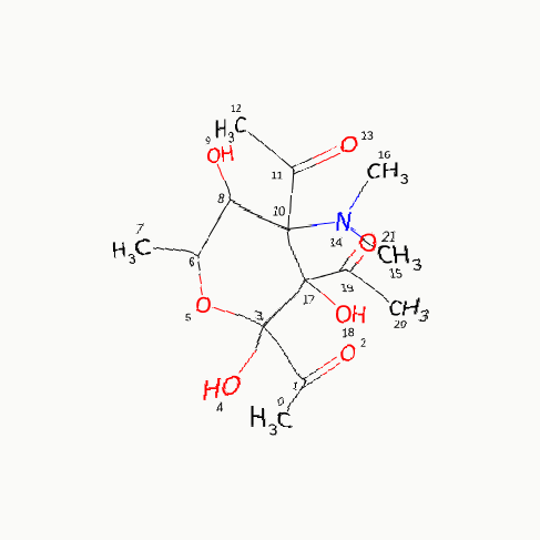 CC(=O)C1(O)OC(C)C(O)C(C(C)=O)(N(C)C)C1(O)C(C)=O